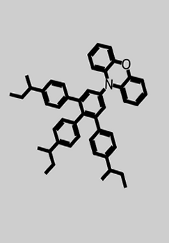 CCC(C)c1ccc(-c2cc(N3c4ccccc4Oc4ccccc43)cc(-c3ccc(C(C)CC)cc3)c2-c2ccc(C(C)CC)cc2)cc1